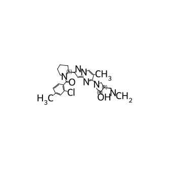 C=NC[C@@H]1CN(c2nc3cc([C@@H]4CCCCN4C(=O)c4ccc(C)cc4Cl)nn3cc2C)C[C@@H]1O